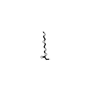 [CH2]CC(=O)OCSCCOCCS[CH2]